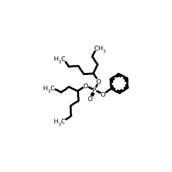 CCCCC(CCC)OP(=O)(Oc1ccccc1)OC(CCC)CCCC